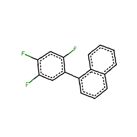 Fc1cc(F)c(-c2cccc3ccccc23)cc1F